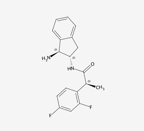 C[C@H](C(=O)N[C@H]1Cc2ccccc2[C@@H]1N)c1ccc(F)cc1F